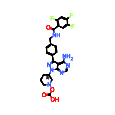 Nc1ncnc2c1c(-c1ccc(CNC(=O)c3cc(F)c(F)cc3F)cc1)nn2[C@@H]1CCCN(OC(=O)O)C1